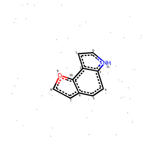 c1cc2c(ccc3ccoc32)[nH]1